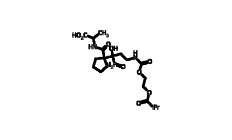 CC(C)C(=O)OCCOC(=O)NCCC(O)([PH2]=O)C1(C(=O)NC(C)C(=O)O)CCCC1